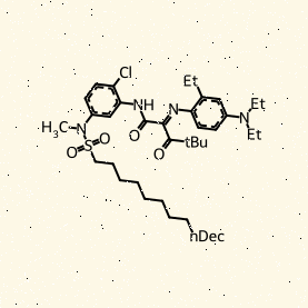 CCCCCCCCCCCCCCCCCCS(=O)(=O)N(C)c1ccc(Cl)c(NC(=O)C(=Nc2ccc(N(CC)CC)cc2CC)C(=O)C(C)(C)C)c1